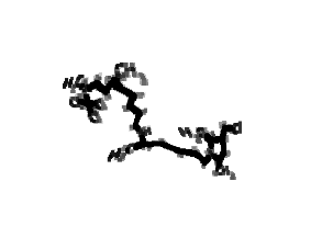 C=C(CCCCCN1C(=C)CC(CCl)C1=C)NCCCCC(C)CCP(C)C(Cl)(Cl)Cl